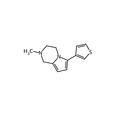 CN1CCn2c(ccc2-c2ccsc2)C1